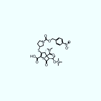 CC(O[Si](C)(C)C)[C@H]1C(=O)N2C(C(=O)O)=C(S[C@H]3CCN(C(=O)OCc4ccc([N+](=O)[O-])cc4)C3)[C@H](C)C12C(=O)N(C)C